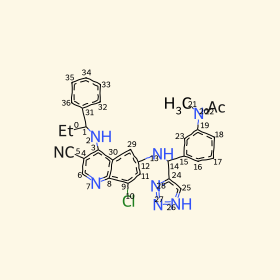 CCC(Nc1c(C#N)cnc2c(Cl)cc(NC(c3cccc(N(C)C(C)=O)c3)c3c[nH]nn3)cc12)c1ccccc1